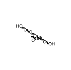 C=CC(=O)O.OCCOCCOCCOCCOCCOCCO